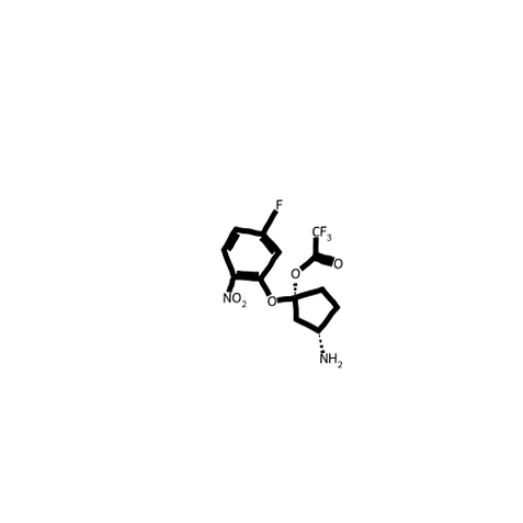 N[C@H]1CC[C@](OC(=O)C(F)(F)F)(Oc2cc(F)ccc2[N+](=O)[O-])C1